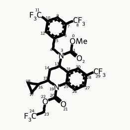 COC(=O)N(Cc1cc(C(F)(F)F)cc(C(F)(F)F)c1)C1CC(C2CC2)N(C(=O)OCC(F)(F)F)c2ccc(C(F)(F)F)cc21